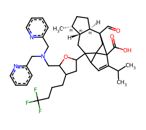 CC(C)C1=CC2C3(C4CC(CCCC(F)(F)F)C(CN(Cc5ccccn5)Cc5ccccn5)O4)C[C@@H]4[C@H](C)CC[C@H]4C4(C=O)CC23C14C(=O)O